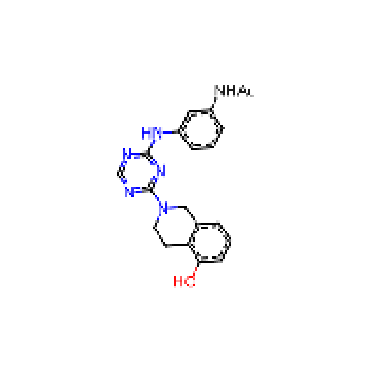 CC(=O)Nc1cccc(Nc2ncnc(N3CCc4c(O)cccc4C3)n2)c1